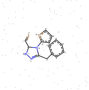 S=CC1NN=C(Cc2ccccc2)N1c1cccs1